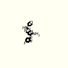 Nc1nc2nc(NC3CCOCC3)ncc2cc1Oc1ccc(F)cc1F